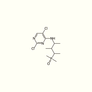 CC(Nc1nc(Cl)ncc1Cl)C(C)C(C)P(C)(C)=O